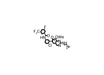 COn1c(=O)c(-c2cc(NC(=O)c3cc(F)cc(C(F)(F)F)c3)ccc2Cl)cc2cnc(NCCN(C)C)nc21